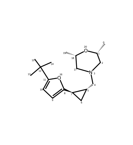 C[C@@H]1CN(C[C@@H]2C[C@H]2c2ccc(C(C)(C)C)o2)C[C@H](C)O1